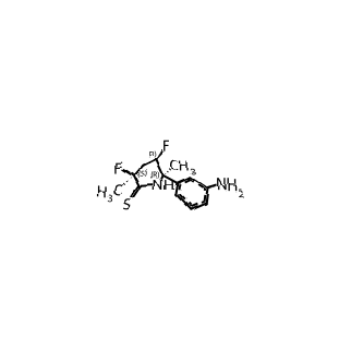 C[C@]1(F)C[C@@H](F)[C@@](C)(c2cccc(N)c2)NC1=S